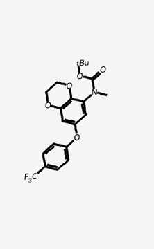 CN(C(=O)OC(C)(C)C)c1cc(Oc2ccc(C(F)(F)F)cc2)cc2c1OCCO2